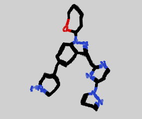 c1cnn(-c2ccnc(-c3nn(C4CCCCO4)c4ccc(C5CCNCC5)cc34)n2)c1